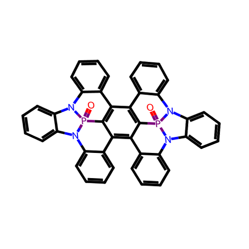 O=P12c3c4c5c6c(c3-c3ccccc3N1c1ccccc1N2c1ccccc1-4)-c1ccccc1N1c2ccccc2N(c2ccccc2-5)P61=O